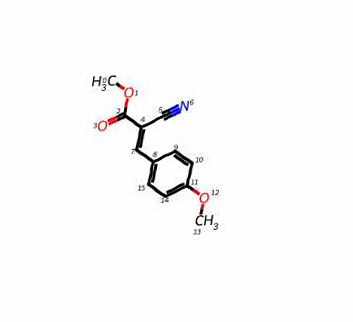 COC(=O)/C(C#N)=C/c1ccc(OC)cc1